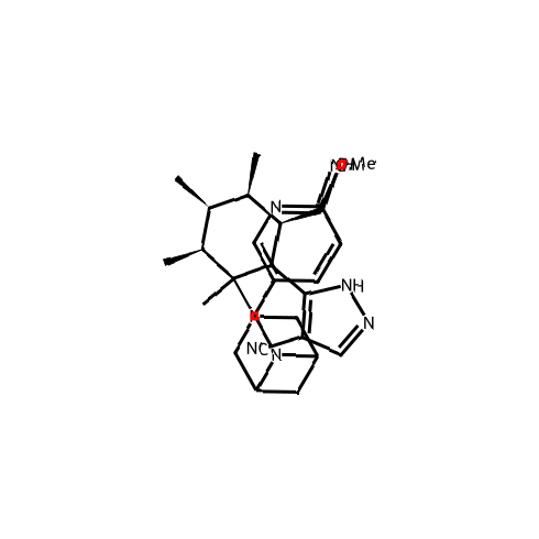 COc1ccc(CN2C3CC2CN(C2(C)C(c4[nH]ncc4C#N)[C@H](C=N)[C@H](C)[C@H](C)[C@@H]2C)C3)cn1